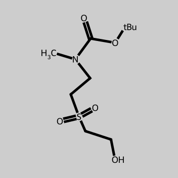 CN(CCS(=O)(=O)CCO)C(=O)OC(C)(C)C